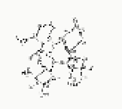 COc1cccc([C@H]2O[C@H](CC(=O)[C@](C)(N)C(=O)O)C(=O)N(CC(C)(C)CO)c3ccc(Cl)cc32)c1OC